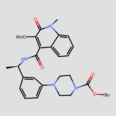 COc1c(C(=O)N[C@H](C)c2cccc(N3CCN(C(=O)OC(C)(C)C)CC3)c2)c2ccccc2n(C)c1=O